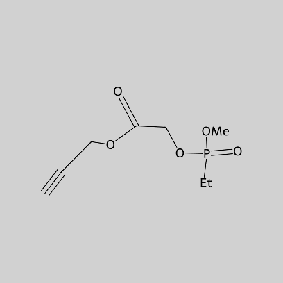 C#CCOC(=O)COP(=O)(CC)OC